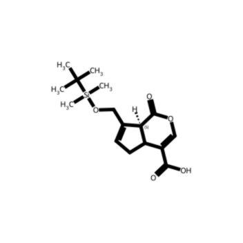 CC(C)(C)[Si](C)(C)OCC1=CCC2C(C(=O)O)=COC(=O)[C@H]12